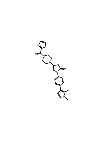 Cc1c(-c2ccc(N3CC(N4CCN(C(=O)c5nccs5)CC4)CC3=O)cc2)cnn1C